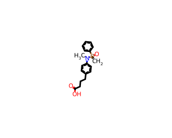 C=S(=O)(c1ccccc1)N(C)c1ccc(CCCC(=O)O)cc1